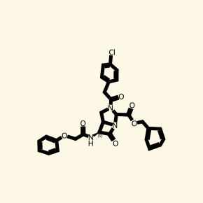 O=C(COc1ccccc1)N[C@@H]1C(=O)N2C1CN(C(=O)Cc1ccc(Cl)cc1)C2C(=O)OCc1ccccc1